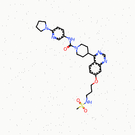 CS(=O)(=O)NCCCOc1ccc2c(C3CCN(C(=O)Nc4ccc(N5CCCC5)nc4)CC3)ncnc2c1